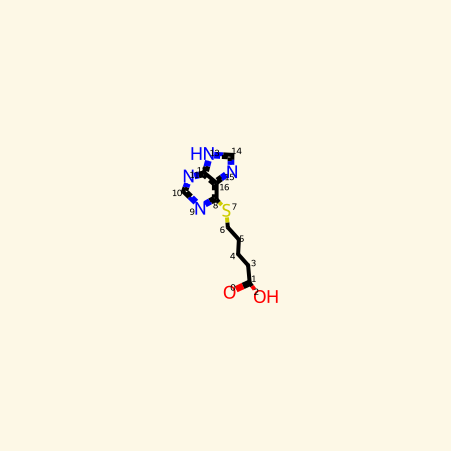 O=C(O)CCCCSc1ncnc2[nH]cnc12